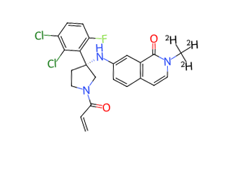 [2H]C([2H])([2H])n1ccc2ccc(N[C@@]3(c4c(F)ccc(Cl)c4Cl)CCN(C(=O)C=C)C3)cc2c1=O